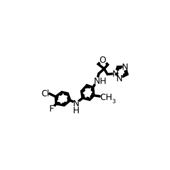 Cc1cc(Nc2ccc(Cl)c(F)c2)ccc1NCC1(Cn2cncn2)COC1